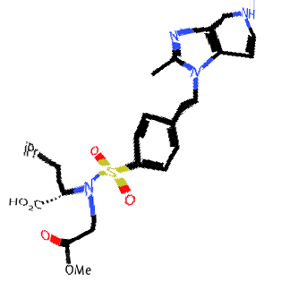 COC(=O)CN([C@@H](CC(C)C)C(=O)O)S(=O)(=O)c1ccc(Cn2c(C)nc3c2C=CNC3)cc1